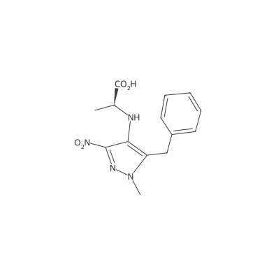 C[C@H](Nc1c([N+](=O)[O-])nn(C)c1Cc1ccccc1)C(=O)O